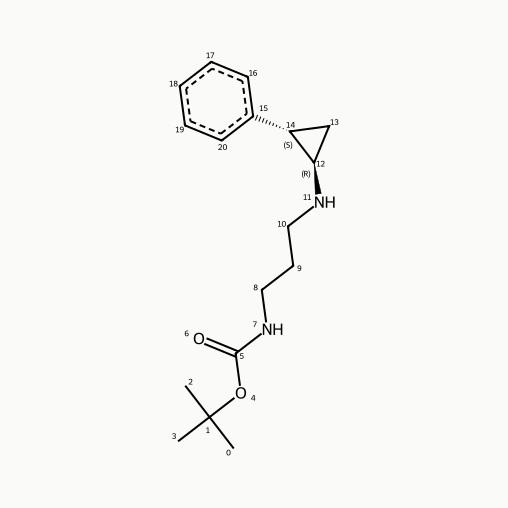 CC(C)(C)OC(=O)NCCCN[C@@H]1C[C@H]1c1ccccc1